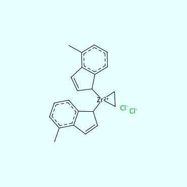 Cc1cccc2c1C=C[CH]2[Zr+2]1([CH]2C=Cc3c(C)cccc32)[CH2][CH2]1.[Cl-].[Cl-]